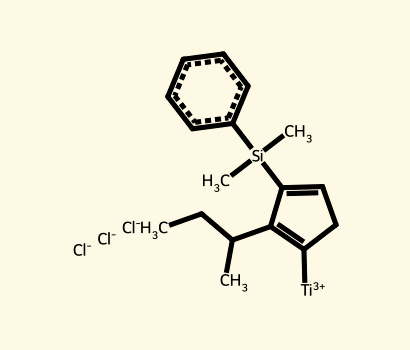 CCC(C)C1=[C]([Ti+3])CC=C1[Si](C)(C)c1ccccc1.[Cl-].[Cl-].[Cl-]